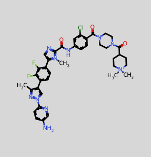 Cc1nn(-c2ccc(N)cn2)cc1-c1ccc(-c2cnc(C(=O)Nc3ccc(C(=O)N4CCN(C(=O)C5CC[N+](C)(C)CC5)CC4)c(Cl)c3)n2C)c(F)c1F